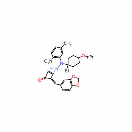 CCCOC1CCC(CC)(N(N)c2cc(C)ccc2[N+](=O)[O-])CC1.O=C1C=CC1=Cc1ccc2c(c1)OCO2